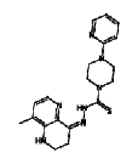 Cc1ccnc2c1NCC/C2=N/NC(=S)N1CCN(c2ccccn2)CC1